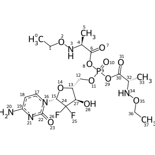 CCON[C@@H](C)C(=O)OP(=O)(OC[C@H]1O[C@@H](n2ccc(N)nc2=O)C(F)(F)[C@@H]1O)OC(=O)[C@H](C)NOCC